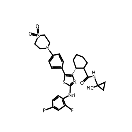 N#CC1(NC(=O)C2CCCC[C@H]2c2nc(Nc3ccc(F)cc3F)sc2-c2ccc(N3CCS(=O)(=O)CC3)cc2)CC1